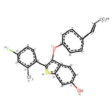 O=C(O)C=Cc1ccc(Oc2c(-c3ccc(F)cc3C(F)(F)F)sc3cc(O)ccc23)cc1